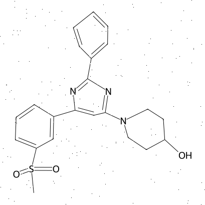 CS(=O)(=O)c1cccc(-c2cc(N3CCC(O)CC3)nc(-c3ccccc3)n2)c1